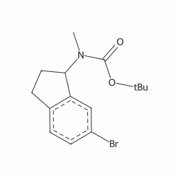 CN(C(=O)OC(C)(C)C)C1CCc2ccc(Br)cc21